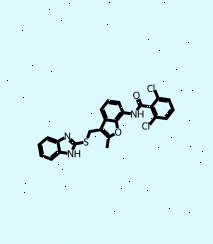 Cc1oc2c(NC(=O)c3c(Cl)cccc3Cl)cccc2c1CSc1nc2ccccc2[nH]1